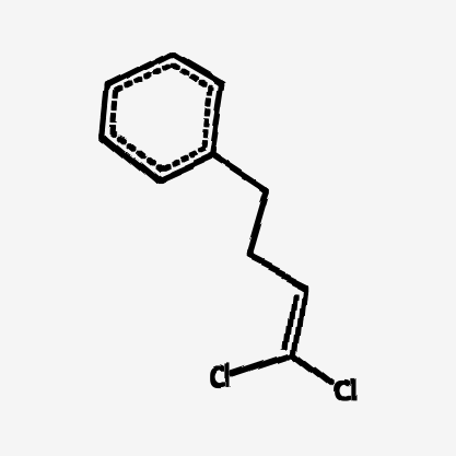 ClC(Cl)=CCCc1ccccc1